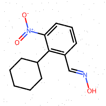 O=[N+]([O-])c1cccc(C=NO)c1C1CCCCC1